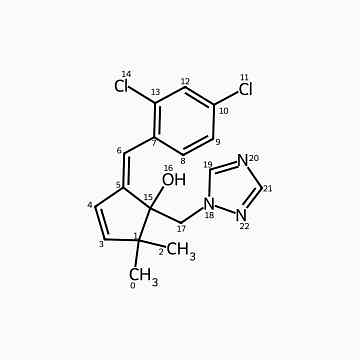 CC1(C)C=C/C(=C/c2ccc(Cl)cc2Cl)C1(O)Cn1cncn1